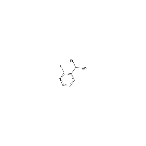 CCCC(CC)c1cccnc1F